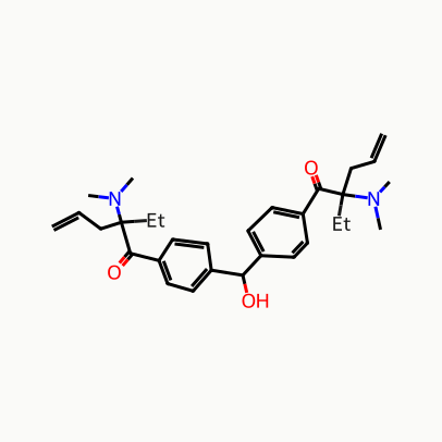 C=CCC(CC)(C(=O)c1ccc(C(O)c2ccc(C(=O)C(CC)(CC=C)N(C)C)cc2)cc1)N(C)C